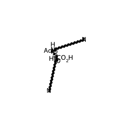 CC(=O)C(CSSCC(NC(=O)CCCCCCCCCCCCCCCCCCN(C)C)C(=O)O)NC(=O)CCCCCCCCCCCCCCCCCCN(C)C